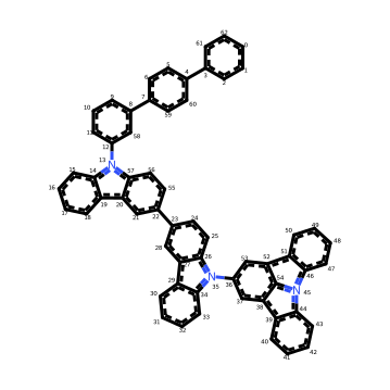 c1ccc(-c2ccc(-c3cccc(-n4c5ccccc5c5cc(-c6ccc7c(c6)c6ccccc6n7-c6cc7c8ccccc8n8c9ccccc9c(c6)c78)ccc54)c3)cc2)cc1